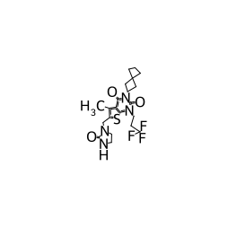 Cc1c(CN2CCNC2=O)sc2c1c(=O)n(C1CC3(CCC3)C1)c(=O)n2CCC(F)(F)F